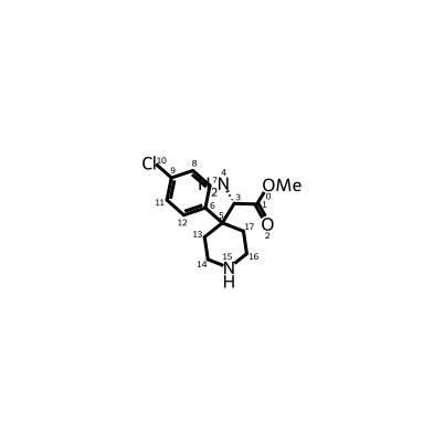 COC(=O)[C@@H](N)C1(c2ccc(Cl)cc2)CCNCC1